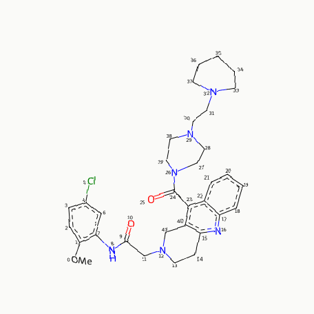 COc1ccc(Cl)cc1NC(=O)CN1CCc2nc3ccccc3c(C(=O)N3CCN(CCN4CCCCC4)CC3)c2C1